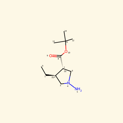 CC[C@@H]1CN(N)C[C@H]1C(=O)OC(C)(C)C